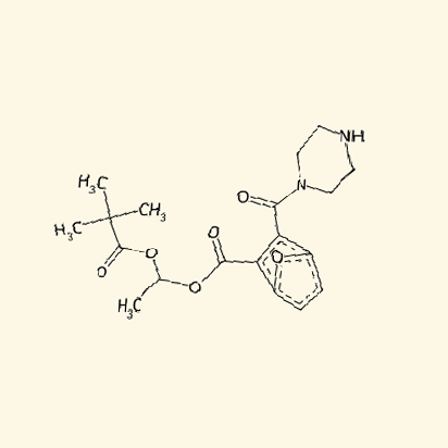 CC(OC(=O)c1c(C(=O)N2CCNCC2)c2ccc1o2)OC(=O)C(C)(C)C